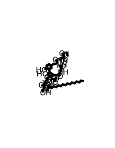 CCCCCCCCCCCCCCCC(=O)N(C)C(CO)C(=O)N[C@H](C)C(=O)NCC(=O)N(C)[C@@H]1C(=O)N[C@@H](C)C(=O)NC(C(=O)NCC(=O)C(=O)N(C)C)Cc2ccc(O)c(c2)-c2cc1ccc2O